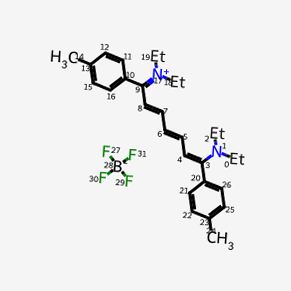 CCN(CC)C(=CC=CC=CC(c1ccc(C)cc1)=[N+](CC)CC)c1ccc(C)cc1.F[B-](F)(F)F